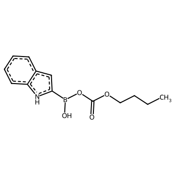 CCCCOC(=O)OB(O)c1cc2ccccc2[nH]1